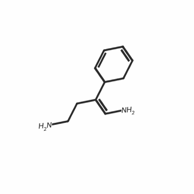 N/C=C(/CCN)C1C=CC=CC1